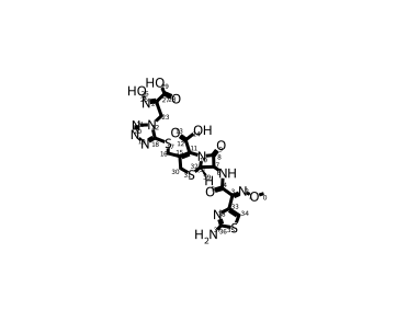 CON=C(C(=O)NC1C(=O)N2C(C(=O)O)=C(CSc3nnnn3CC(=NO)C(=O)O)CS[C@@H]12)c1csc(N)n1